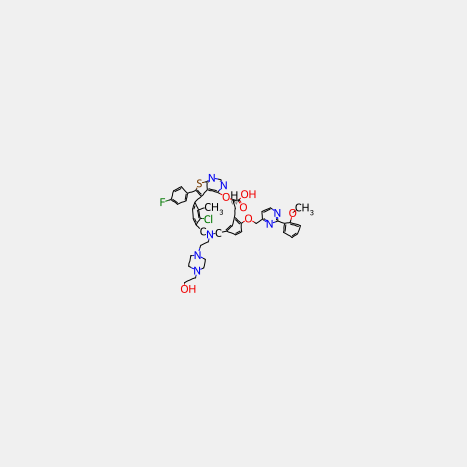 COc1ccccc1-c1nccc(COc2ccc3cc2C[C@H](C(=O)O)Oc2ncnc4sc(-c5ccc(F)cc5)c(c24)-c2ccc(c(Cl)c2C)CN(CCN2CCN(CCO)CC2)C3)n1